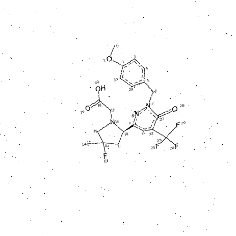 COc1ccc(Cn2nc([C@H]3CC(F)(F)CN3CC(=O)O)cc(C(F)(F)F)c2=O)cc1